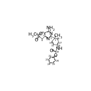 CC1(c2nc(N)cc(CS(C)(=O)=O)n2)C=CC(NC(=O)Oc2ccccc2)=CC1